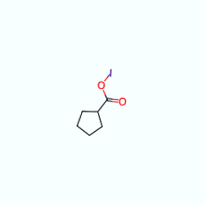 O=C(OI)C1CCCC1